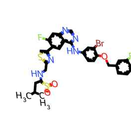 CC(C)CC(NCc1nc(-c2cc3c(Nc4ccc(OCc5cccc(F)c5)c(Br)c4)ncnc3cc2F)cs1)=S(=O)=O